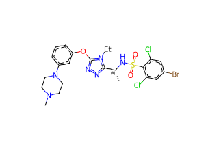 CCn1c(Oc2cccc(N3CCN(C)CC3)c2)nnc1[C@@H](C)NS(=O)(=O)c1c(Cl)cc(Br)cc1Cl